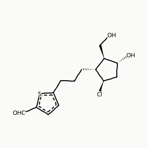 O=Cc1ccc(CCC[C@@H]2[C@@H](CO)[C@H](O)C[C@H]2Cl)s1